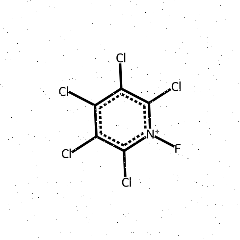 F[n+]1c(Cl)c(Cl)c(Cl)c(Cl)c1Cl